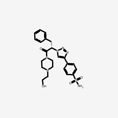 NS(=O)(=O)c1ccc(-c2cn([C@@H](Cc3ccccc3)C(=O)N3CCN(CCO)CC3)nn2)cc1